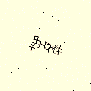 Cc1cc(CCC2(C(=O)OC(C)(C)C)CCC2)ncc1B1OC(C)(C)C(C)(C)O1